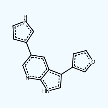 c1cc(-c2cnc3[nH]cc(-c4ccoc4)c3c2)c[nH]1